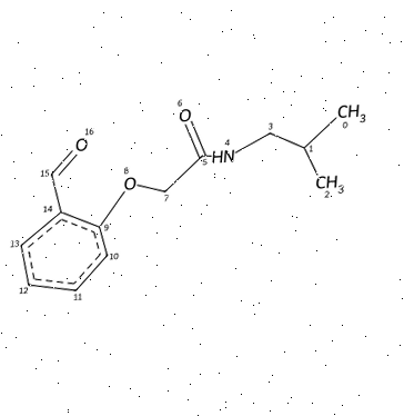 CC(C)CNC(=O)COc1ccccc1C=O